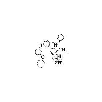 Cc1c(NS(C)(=O)=O)cccc1N(Cc1ccccc1)Cc1ccc(Oc2cccc(OC3CCCCCC3)c2)cc1